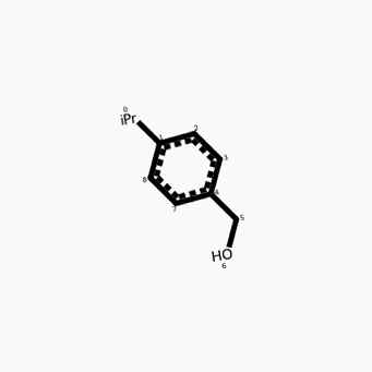 CC(C)c1ccc([CH]O)cc1